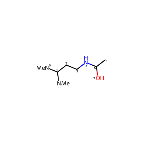 CNC(CCNC(C)O)NC